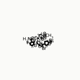 CS(=O)(=O)N1CCN(C(=O)OCC(Oc2ccc(F)c(C(N)=O)c2F)c2nc(-c3ccc(C(F)(F)F)cc3)c(Br)o2)C1=O